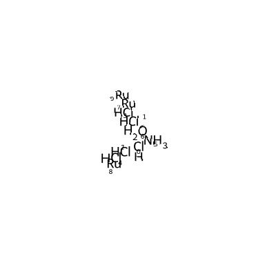 Cl.Cl.Cl.Cl.Cl.N.O.[Ru].[Ru].[Ru]